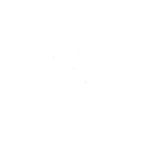 CC(C)n1c[n+]([O-])c2c1C(=O)CCC2